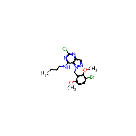 CCCCNc1nc(Cl)nc2cnn(Cc3c(OC)ccc(Br)c3OC)c12